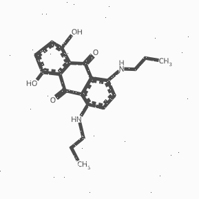 CCCNc1ccc(NCCC)c2c1C(=O)c1c(O)ccc(O)c1C2=O